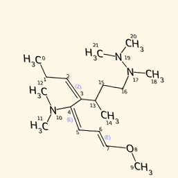 CC\C=C(/C(=C\C=C\OC)N(C)C)C(C)CCN(C)N(C)C